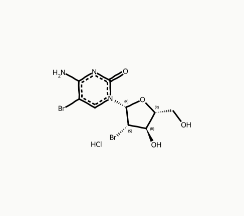 Cl.Nc1nc(=O)n([C@@H]2O[C@H](CO)[C@@H](O)[C@@H]2Br)cc1Br